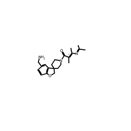 CC(C)=N/C(C)=C(\C)C(=O)N1CCC2(CC1)COc1ccc(CN)cc12